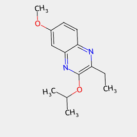 CCc1nc2ccc(OC)cc2nc1OC(C)C